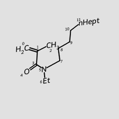 C=C(C)C(=O)N(CC)CCCCCCCCCCC